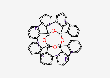 Ic1ccccc1[Si]1(c2ccccc2I)O[Si](c2ccccc2I)(c2ccccc2I)O[Si](c2ccccc2I)(c2ccccc2I)O[Si](c2ccccc2I)(c2ccccc2I)O1